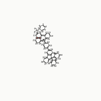 CC1(C)c2ccccc2-c2c(-c3ccccc3N(c3ccccc3)c3ccc(-c4ccc5c(c4)-c4ccccc4C5(c4ccccc4)c4ccccc4)cc3)cccc21